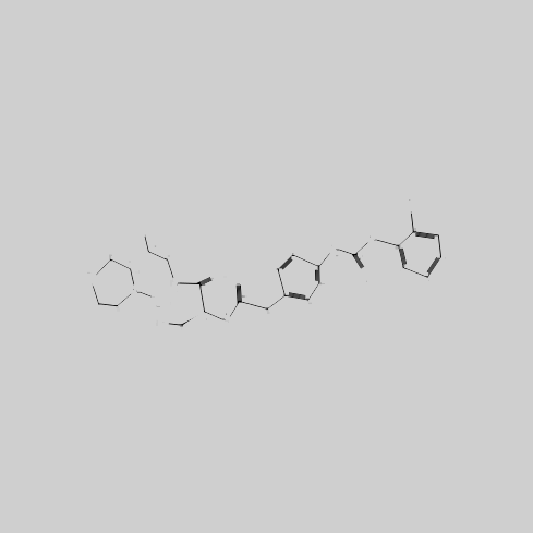 Cc1ccccc1NC(=O)Nc1ccc(CC(=O)N[C@@H](CC(C)C)C(=O)NCC(C(=O)O)[C@H]2COCCN2C)cc1